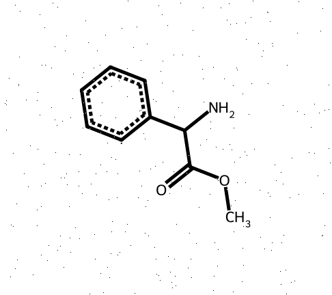 COC(=O)C(N)c1[c]cccc1